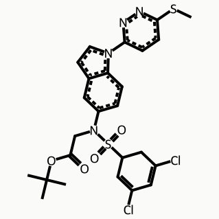 CSc1ccc(-n2ccc3cc(N(CC(=O)OC(C)(C)C)S(=O)(=O)C4C=C(Cl)C=C(Cl)C4)ccc32)nn1